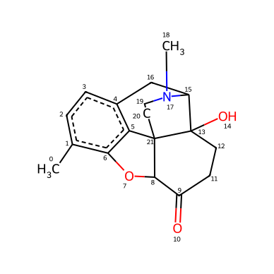 Cc1ccc2c3c1OC1C(=O)CCC4(O)C(C2)N(C)CCC314